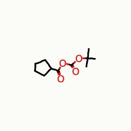 CC(C)(C)OC(=O)OC(=O)C1CCCC1